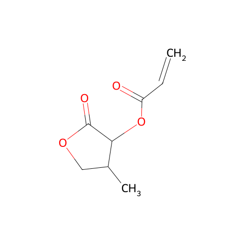 C=CC(=O)OC1C(=O)OCC1C